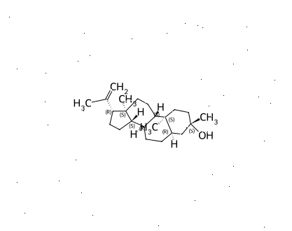 C=C(C)[C@H]1CC[C@H]2[C@@H]3CC[C@@H]4C[C@@](C)(O)CC[C@]4(C)[C@H]3CC[C@]12C